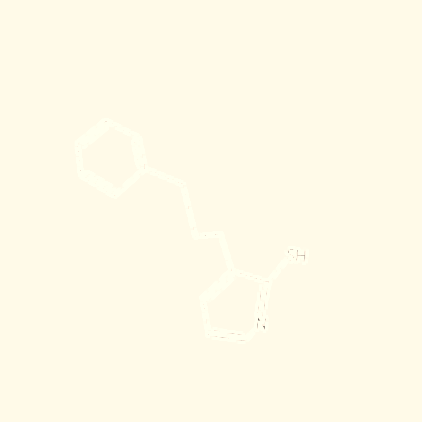 Sc1ncccc1CCCc1ccccc1